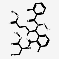 Cc1ccccc1C(=O)N(SS)C(c1cccc(C)c1C(=O)NC(CC(C)C)C(=O)OC(C)(C)C)C(C)CCC(=O)OC(C)(C)C